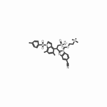 Cc1ccc(S(=O)(=O)n2ccc3c(C(CS(N)(=O)=O)c4nc5cc(C#N)ccc5n4COCC[Si](C)(C)C)c(C)cc(C)c32)cc1